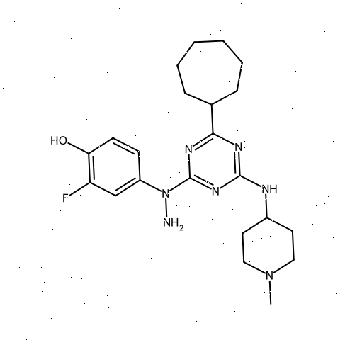 CN1CCC(Nc2nc(C3CCCCCC3)nc(N(N)c3ccc(O)c(F)c3)n2)CC1